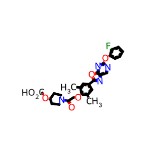 Cc1cc(-c2nc3cnc(Oc4ccccc4F)nc3o2)cc(C)c1OCC(=O)N1CCC(OC(=O)O)CC1